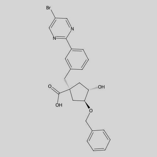 O=C(O)[C@]1(Cc2cccc(-c3ncc(Br)cn3)c2)C[C@H](OCc2ccccc2)[C@@H](O)C1